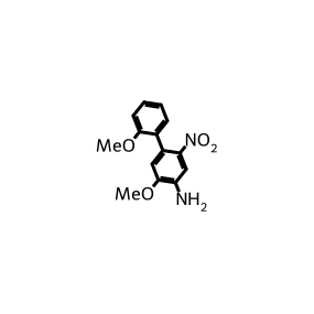 COc1cc(-c2ccccc2OC)c([N+](=O)[O-])cc1N